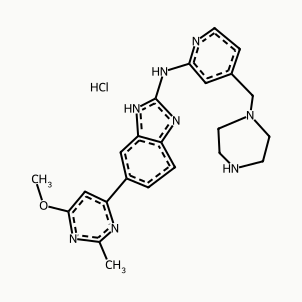 COc1cc(-c2ccc3nc(Nc4cc(CN5CCNCC5)ccn4)[nH]c3c2)nc(C)n1.Cl